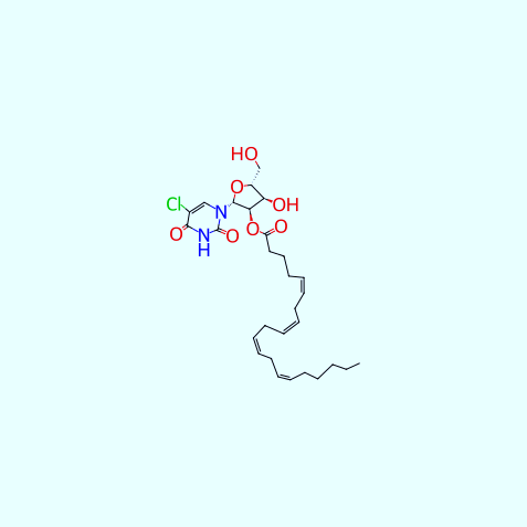 CCCCC/C=C\C/C=C\C/C=C\C/C=C\CCCC(=O)O[C@@H]1[C@H](O)[C@@H](CO)O[C@H]1n1cc(Cl)c(=O)[nH]c1=O